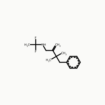 C=C(CNC(C)(F)F)C(C)(C)Cc1ccccc1